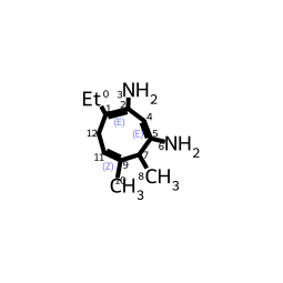 CC/C1=C(N)/C=C(/N)C(C)/C(C)=C\C1